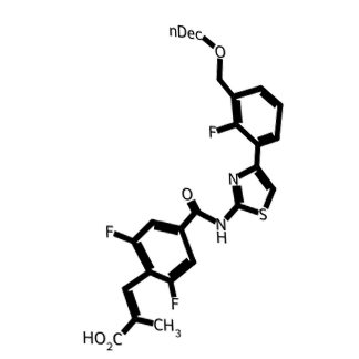 CCCCCCCCCCOCc1cccc(-c2csc(NC(=O)c3cc(F)c(/C=C(\C)C(=O)O)c(F)c3)n2)c1F